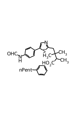 CC(C(=O)O)C(C)(C)Cc1ncc(-c2ccc(NC=O)cc2)s1.CCCCCc1ccccc1